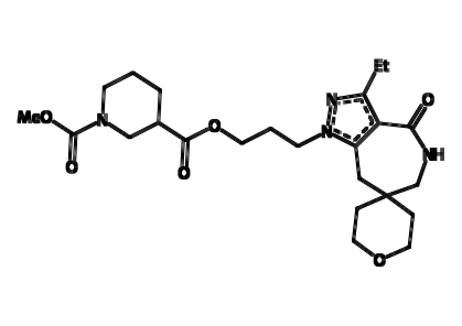 CCc1nn(CCCOC(=O)C2CCCN(C(=O)OC)C2)c2c1C(=O)NCC1(CCOCC1)C2